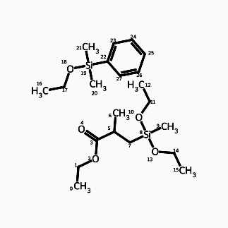 CCOC(=O)C(C)C[Si](C)(OCC)OCC.CCO[Si](C)(C)c1ccccc1